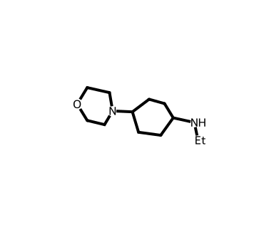 CCNC1CCC(N2CCOCC2)CC1